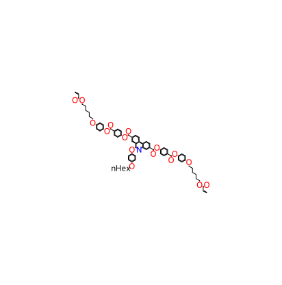 C=CC(=O)OCCCCCCOc1ccc(OC(=O)c2ccc(OC(=O)c3ccc4c(c3)nc(Oc3ccc(OCCCCCC)cc3)c3cc(C(=O)Oc5ccc(C(=O)Oc6ccc(OCCCCCCOC(=O)C=C)cc6)cc5)ccc34)cc2)cc1